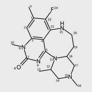 Cc1cc2c3c(nc(=O)n2C)N2C(C)CN(C)CC2CCNc3c1F